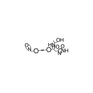 CC(CO)NCC(Cc1nc[nH]c(=O)c1O)c1ccc(C#Cc2ccc(CN3CCOCC3)cc2)cc1